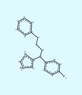 Fc1ccc(C(CCCc2ccccc2)c2c[nH]cn2)cc1